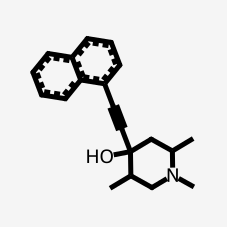 CC1CC(O)(C#Cc2cccc3ccccc23)C(C)CN1C